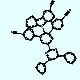 N#Cc1ccc(-c2cc(-c3nc(-c4ccccc4)cc(-c4ccccc4)n3)cc(-c3ccc(C#N)cc3)c2-n2c3ccccc3c3cc(C#N)ccc32)cc1